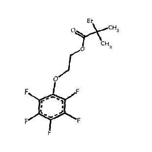 CCC(C)(C)C(=O)OCCOc1c(F)c(F)c(F)c(F)c1F